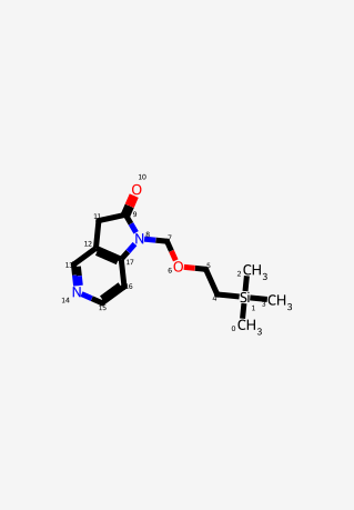 C[Si](C)(C)CCOCN1C(=O)Cc2cnccc21